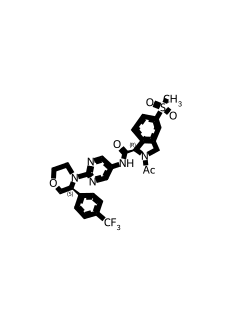 CC(=O)N1Cc2cc(S(C)(=O)=O)ccc2[C@@H]1C(=O)Nc1cnc(N2CCOC[C@@H]2c2ccc(C(F)(F)F)cc2)nc1